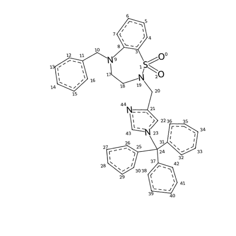 O=S1(=O)c2ccccc2N(Cc2ccccc2)CCN1Cc1cn(C(c2ccccc2)(c2ccccc2)c2ccccc2)cn1